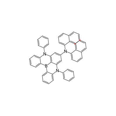 c1ccc(N2c3ccccc3B3c4ccccc4N(c4ccccc4)c4cc(N(c5cccc6ccccc56)c5cccc6ccccc56)cc2c43)cc1